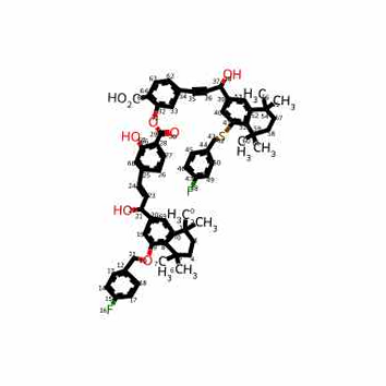 CC1(C)CCC(C)(C)c2c(OCc3ccc(F)cc3)cc(C(O)C=Cc3ccc(C(=O)Oc4cc(C#CC(O)c5cc(SCc6ccc(F)cc6)c6c(c5)C(C)(C)CCC6(C)C)ccc4C(=O)O)c(O)c3)cc21